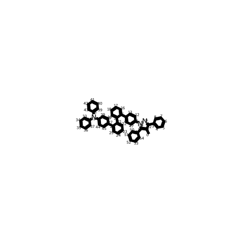 Cc1c(-c2ccccc2)nn(-c2ccc(-c3ccccc3-c3ccccc3-c3ccc(N(c4ccccc4)c4ccccc4)cc3)cc2)c1-c1ccccc1